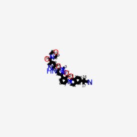 Cn1nc(-c2cccc(N3CCc4cc(C(C)(C)C#N)ccc4C3=O)c2C=O)cc(Nc2ccc(C(=O)N3CCOCC3)cn2)c1=O